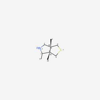 CC1NC[C@]2(C)CSC[C@]12C